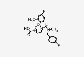 Cc1cc(F)ccc1[C@H]1CN(C(=O)O)CCN1C(=O)N(C)Cc1ccc(F)cc1